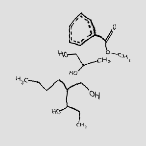 CC(O)CO.CCCCC(CO)C(O)CC.COC(=O)c1ccccc1